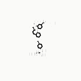 NN=C(N)Nc1ccc(C(=O)Oc2ccc3nc(C(=O)N(CC(=O)O)c4cccc(CC(=O)O)c4)ccc3c2)cc1